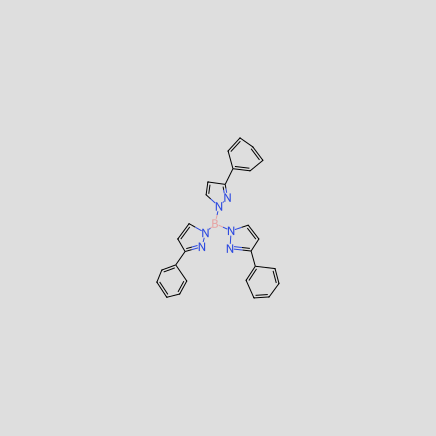 c1ccc(-c2ccn(B(n3ccc(-c4ccccc4)n3)n3ccc(-c4ccccc4)n3)n2)cc1